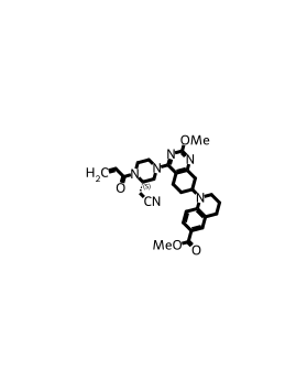 C=CC(=O)N1CCN(c2nc(OC)nc3c2CCC(N2CCCc4cc(C(=O)OC)ccc42)C3)C[C@@H]1CC#N